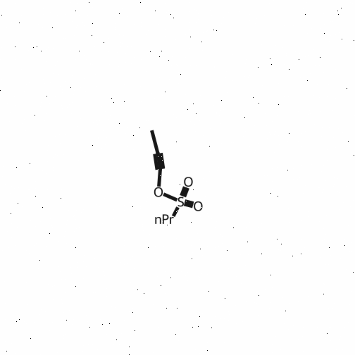 CC#COS(=O)(=O)CCC